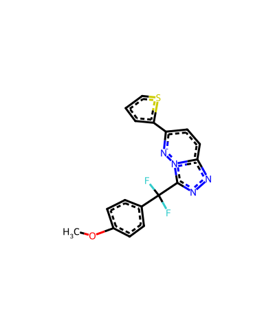 COc1ccc(C(F)(F)c2nnc3ccc(-c4cccs4)nn23)cc1